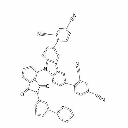 N#Cc1ccc(-c2ccc3c(c2)c2cc(-c4ccc(C#N)cc4C#N)ccc2n3-c2cccc3c2C(=O)N(c2cccc(-c4ccccc4)c2)C3=O)c(C#N)c1